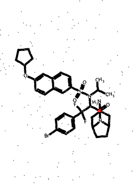 CC(C)N(C(C(=O)N1C2CCC1CC(N)C2)C(F)(F)c1ccc(Br)cc1)S(=O)(=O)c1ccc2cc(OC3CCCC3)ccc2c1